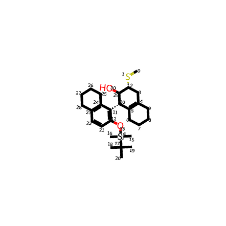 CS[C@@H]1CC2=C(CCCC2)[C@H](c2c(O[Si](C)(C)C(C)(C)C)ccc3c2CCCC3)C1O